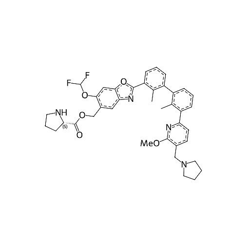 COc1nc(-c2cccc(-c3cccc(-c4nc5cc(COC(=O)[C@@H]6CCCN6)c(OC(F)F)cc5o4)c3C)c2C)ccc1CN1CCCC1